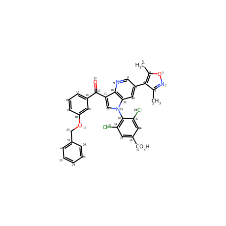 Cc1noc(C)c1-c1cnc2c(C(=O)c3cccc(OCc4ccccc4)c3)cn(-c3c(Cl)cc(C(=O)O)cc3Cl)c2c1